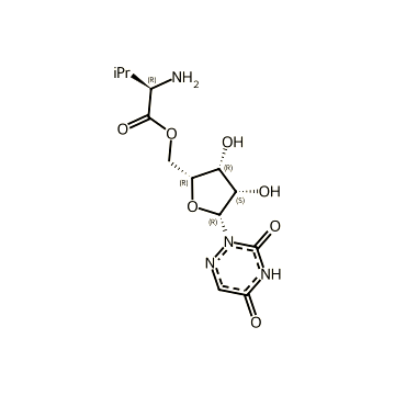 CC(C)[C@@H](N)C(=O)OC[C@H]1O[C@@H](n2ncc(=O)[nH]c2=O)[C@@H](O)[C@H]1O